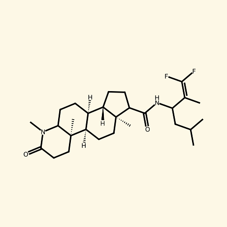 CC(=C(F)F)C(CC(C)C)NC(=O)C1CC[C@H]2[C@@H]3CCC4N(C)C(=O)CC[C@]4(C)[C@@H]3CC[C@]12C